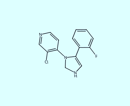 Fc1ccccc1C1=CNCN1c1ccncc1Cl